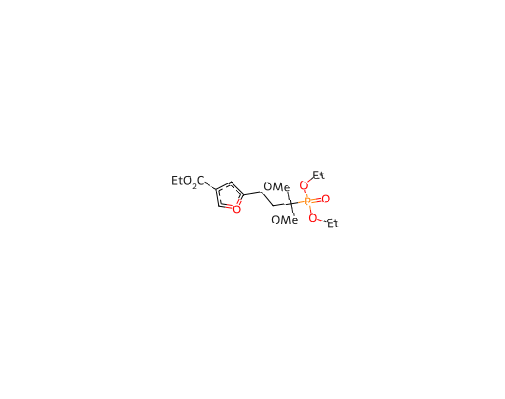 CCOC(=O)c1coc(CCC(OC)(OC)P(=O)(OCC)OCC)c1